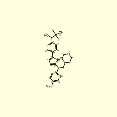 CSc1ccc(C(CC2CCOCC2)c2ccc(-c3ccc(C(O)C(C)(C)O)cn3)[nH]2)nc1